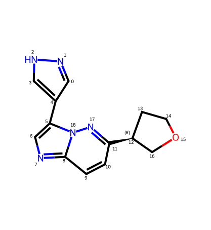 c1n[nH]cc1-c1cnc2ccc([C@H]3CCOC3)nn12